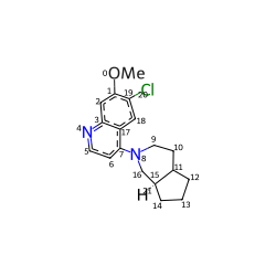 COc1cc2nccc(N3CCC4CCC[C@H]4C3)c2cc1Cl